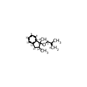 C=C(C)COC1(C)c2ccccc2CC1C